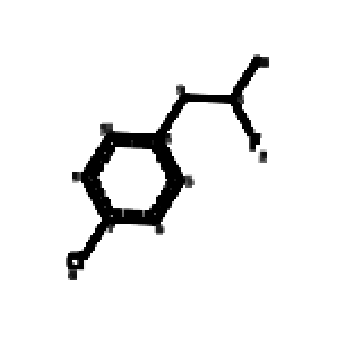 CC(F)Cc1ccc(Cl)cc1